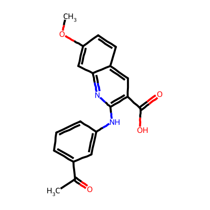 COc1ccc2cc(C(=O)O)c(Nc3cccc(C(C)=O)c3)nc2c1